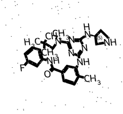 Cc1ccc(C(=O)Nc2cccc(F)c2)cc1Nc1nc(N[C@H]2CCNC2)nc(N(C)CC(C)(C)C)n1